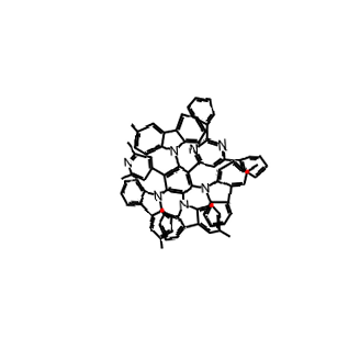 Cc1ccc2c(c1)c1ccccc1n2-c1c(-c2cc(C)nc(C)c2)c(-n2c3ccccc3c3cc(C)ccc32)c(-n2c3ccccc3c3cc(C)ccc32)c(-n2c3ccccc3c3cc(C)ccc32)c1-c1cc(-c2ccccc2)nc(-c2ccccc2)n1